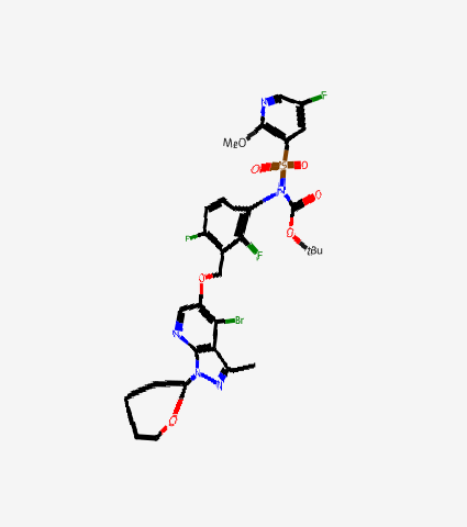 COc1ncc(F)cc1S(=O)(=O)N(C(=O)OC(C)(C)C)c1ccc(F)c(COc2cnc3c(c(C)nn3C3CCCCO3)c2Br)c1F